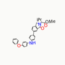 COC(=O)C(C(C)C)N1Cc2ccc(-c3ccc(Nc4ccc(Oc5ccccc5)cc4)cc3)cc2C1=O